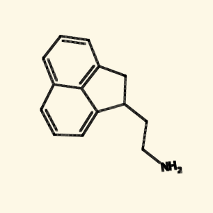 NCCC1Cc2cccc3cccc1c23